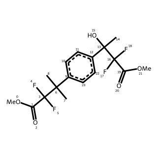 COC(=O)C(F)(F)C(C)(C)c1ccc(C(C)(O)C(F)(F)C(=O)OC)cc1